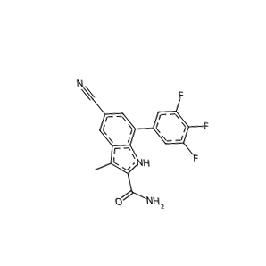 Cc1c(C(N)=O)[nH]c2c(-c3cc(F)c(F)c(F)c3)cc(C#N)cc12